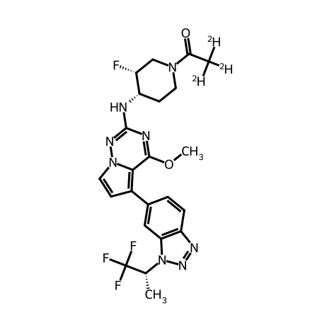 [2H]C([2H])([2H])C(=O)N1CC[C@H](Nc2nc(OC)c3c(-c4ccc5nnn([C@H](C)C(F)(F)F)c5c4)ccn3n2)[C@H](F)C1